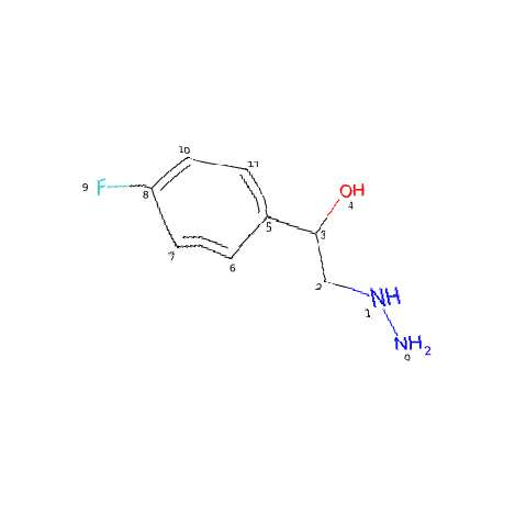 NNCC(O)c1ccc(F)cc1